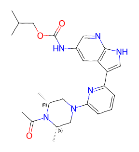 CC(=O)N1[C@H](C)CN(c2cccc(-c3c[nH]c4ncc(NC(=O)OCC(C)C)cc34)n2)C[C@@H]1C